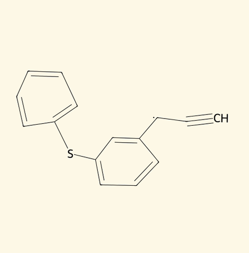 C#C[CH]c1cccc(Sc2ccccc2)c1